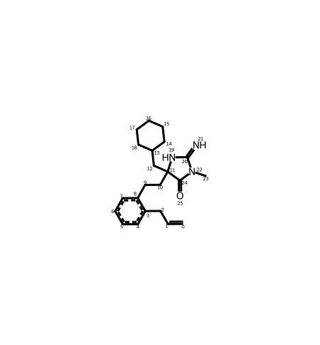 C=CCc1ccccc1CCC1(CC2CCCCC2)NC(=N)N(C)C1=O